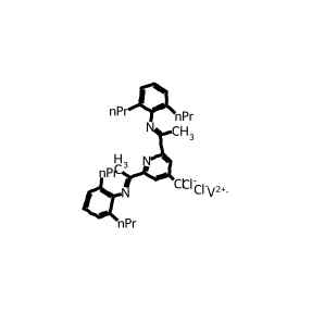 CCCc1cccc(CCC)c1N=C(C)c1cc(Cl)cc(C(C)=Nc2c(CCC)cccc2CCC)n1.[Cl-].[Cl-].[V+2]